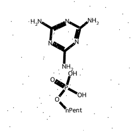 CCCCCOP(=O)(O)O.Nc1nc(N)nc(N)n1